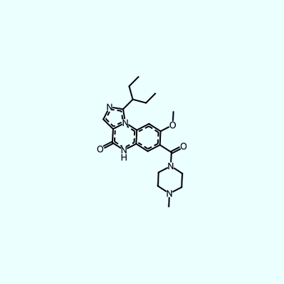 CCC(CC)c1ncc2c(=O)[nH]c3cc(C(=O)N4CCN(C)CC4)c(OC)cc3n12